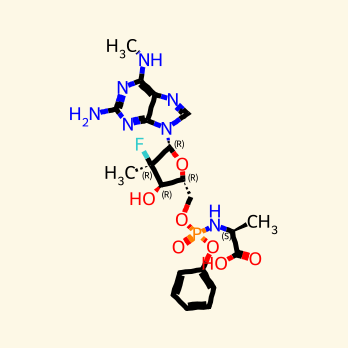 CNc1nc(N)nc2c1ncn2[C@@H]1O[C@H](COP(=O)(N[C@@H](C)C(=O)O)Oc2ccccc2)[C@@H](O)[C@@]1(C)F